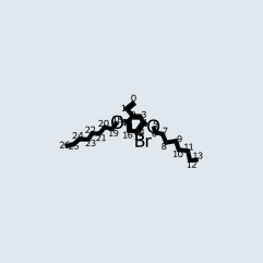 C=Cc1cc(OCCCCCCCC)c(Br)cc1OCCCCCCCC